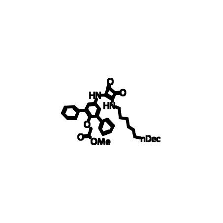 CCCCCCCCCCCCCCCCNc1c(Nc2cc(-c3ccccc3)c(OCC(=O)OC)c(-c3ccccc3)c2)c(=O)c1=O